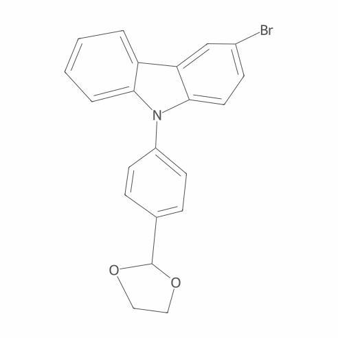 Brc1ccc2c(c1)c1ccccc1n2-c1ccc(C2OCCO2)cc1